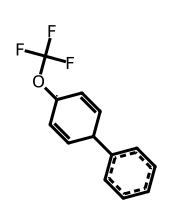 FC(F)(F)O[C]1C=CC(c2ccccc2)C=C1